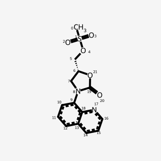 CS(=O)(=O)OC[C@H]1CN(c2cccc3cccnc23)C(=O)O1